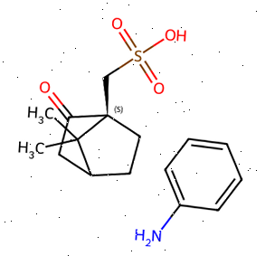 CC1(C)C2CC[C@@]1(CS(=O)(=O)O)C(=O)C2.Nc1ccccc1